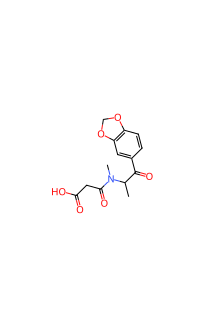 CC(C(=O)c1ccc2c(c1)OCO2)N(C)C(=O)CC(=O)O